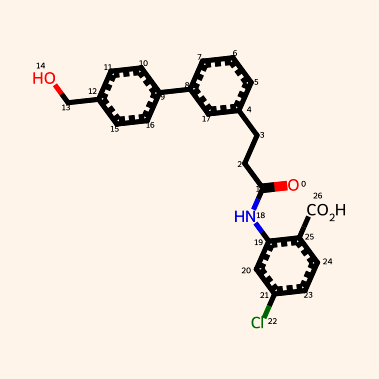 O=C(CCc1cccc(-c2ccc(CO)cc2)c1)Nc1cc(Cl)ccc1C(=O)O